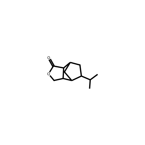 CC(C)C1CC2CC1C1COC(=O)C21